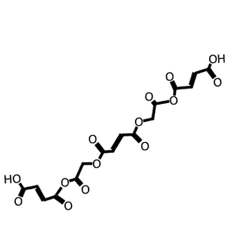 O=C(O)/C=C/C(=O)OC(=O)COC(=O)/C=C/C(=O)OCC(=O)OC(=O)/C=C/C(=O)O